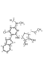 COC[C@H]1C[C@@H](Nc2nc(N(C)C)nc(Cl)c2-c2nc3ccccc3s2)[C@H](O)[C@@H]1O